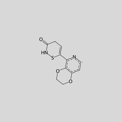 O=C1CC=C(c2n[c]cc3c2OCCO3)SN1